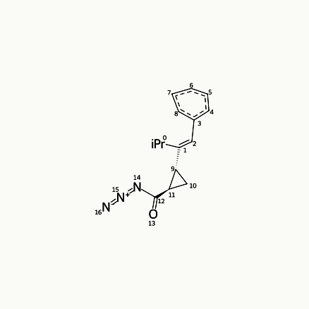 CC(C)/C(=C\c1ccccc1)[C@@H]1C[C@H]1C(=O)N=[N+]=[N-]